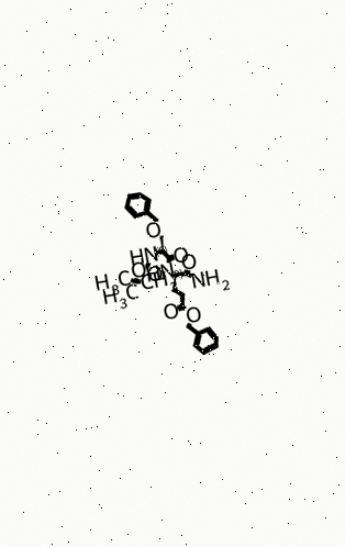 CC(C)(C)OC(=O)N[C@@H](COCc1ccccc1)C(=O)N[C@H](CCC(=O)OCc1ccccc1)C(N)=O